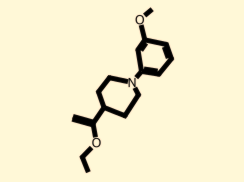 C=C(OCC)C1CCN(c2cccc(OC)c2)CC1